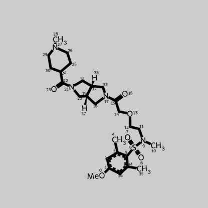 COc1cc(C)c(S(=O)(=O)N(C)CCOCC(=O)N2C[C@@H]3CN(C(=O)C4CCN(C)CC4)C[C@@H]3C2)c(C)c1